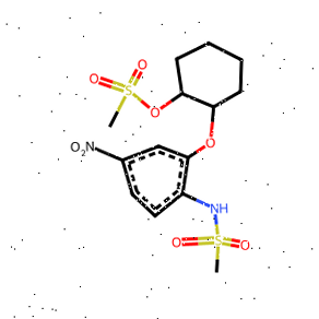 CS(=O)(=O)Nc1ccc([N+](=O)[O-])cc1OC1CCCCC1OS(C)(=O)=O